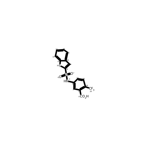 O=C(O)c1cc(NS(=O)(=O)c2cc3ccccc3s2)ccc1C(F)(F)F